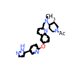 CC(=O)N1CCC(N(C)Cc2ccc3cc(Oc4ccc(-c5ccn[nH]5)cn4)ccc3n2)CC1